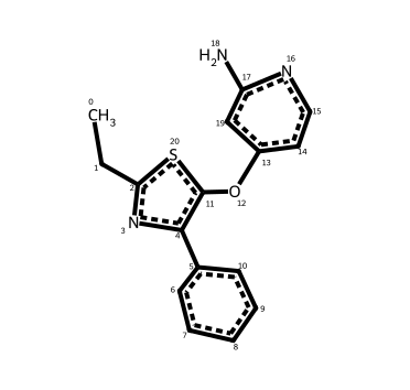 CCc1nc(-c2ccccc2)c(Oc2ccnc(N)c2)s1